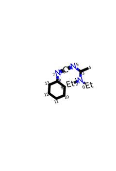 CCN(CC)C(C)N=C=NC1CCCCC1